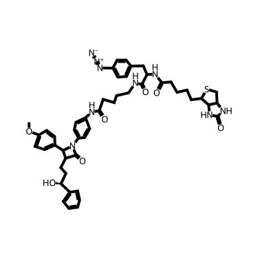 COc1ccc(C2C(CC[C@H](O)c3ccccc3)C(=O)N2c2ccc(NC(=O)CCCCNC(=O)C(Cc3ccc(N=[N+]=[N-])cc3)NC(=O)CCCCC3SCC4NC(=O)NC43)cc2)cc1